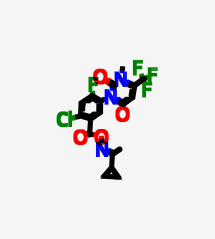 C/C(=N\OC(=O)c1cc(-n2c(=O)cc(C(F)(F)F)n(C)c2=O)c(F)cc1Cl)C1CC1